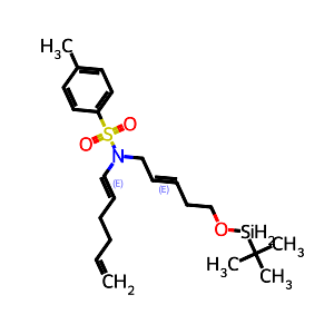 C=CCC/C=C/N(C/C=C/CCO[SiH2]C(C)(C)C)S(=O)(=O)c1ccc(C)cc1